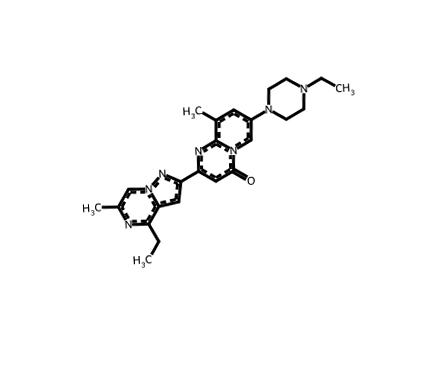 CCc1nc(C)cn2nc(-c3cc(=O)n4cc(N5CCN(CC)CC5)cc(C)c4n3)cc12